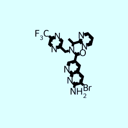 CC(c1ncccn1)N(Cc1cnc(C(F)(F)F)cn1)C(=O)c1cnc2nc(N)c(Br)cc2c1